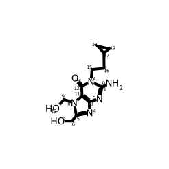 Nc1nc2nc(CO)n(CO)c2c(=O)n1CCC1CC1